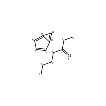 CCCCC(=O)CC.c1cc2cc-2c1